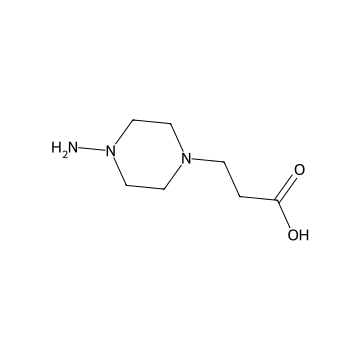 NN1CCN(CCC(=O)O)CC1